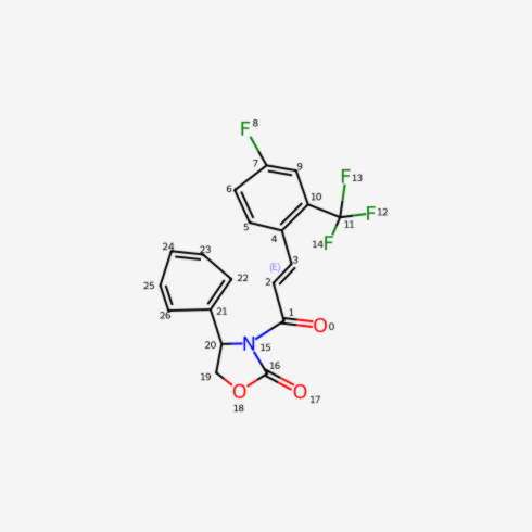 O=C(/C=C/c1ccc(F)cc1C(F)(F)F)N1C(=O)OCC1c1ccccc1